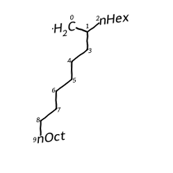 [CH2]C(CCCCCC)CCCCCCCCCCCCCC